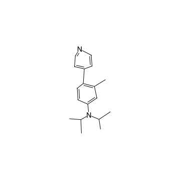 Cc1cc(N(C(C)C)C(C)C)ccc1-c1ccncc1